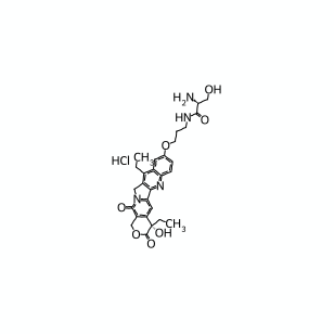 CCc1c2c(nc3ccc(OCCCNC(=O)[C@@H](N)CO)cc13)-c1cc3c(c(=O)n1C2)COC(=O)[C@]3(O)CC.Cl